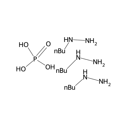 CCCCNN.CCCCNN.CCCCNN.O=P(O)(O)O